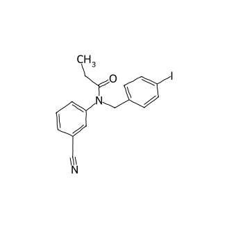 CCC(=O)N(Cc1ccc(I)cc1)c1cccc(C#N)c1